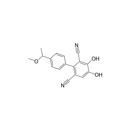 COC(C)c1ccc(-c2c(C#N)cc(O)c(O)c2C#N)cc1